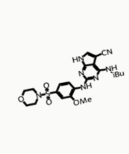 CC[C@@H](C)Nc1nc(Nc2ccc(S(=O)(=O)N3CCOCC3)cc2OC)nc2[nH]cc(C#N)c12